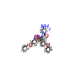 NC1CCN(C(=O)[C@H](NS(=O)(=O)c2ccc(OCC3CCCCC3)cc2)C(F)(F)c2cccc(Oc3ccccc3)c2)CC1